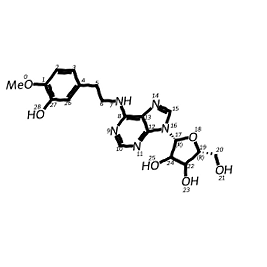 COc1ccc(CCNc2ncnc3c2ncn3[C@@H]2O[C@H](CO)C(O)C2O)cc1O